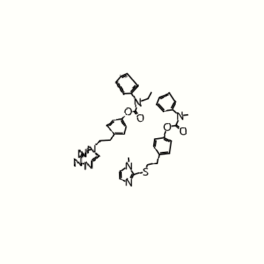 CCN(C(=O)Oc1ccc(CCn2cnnn2)cc1)c1ccccc1.CN(C(=O)Oc1ccc(CCSc2nccn2C)cc1)c1ccccc1